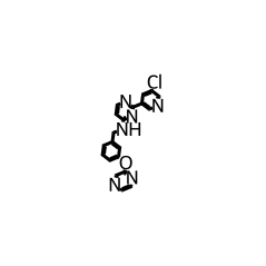 Clc1cncc(-c2nccc(NCc3cccc(Oc4cnccn4)c3)n2)c1